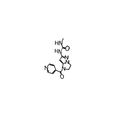 CNC(=O)Nc1cc2n(n1)CCN2C(=O)c1ccncc1